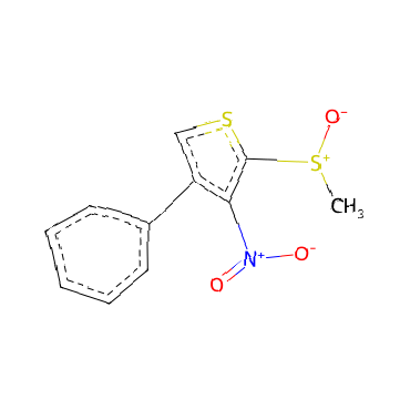 C[S+]([O-])c1scc(-c2ccccc2)c1[N+](=O)[O-]